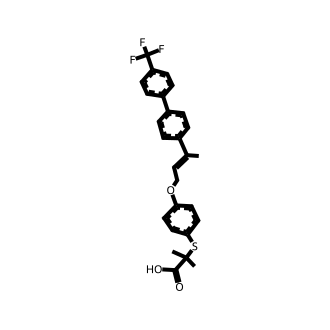 C/C(=C\COc1ccc(SC(C)(C)C(=O)O)cc1)c1ccc(-c2ccc(C(F)(F)F)cc2)cc1